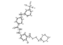 O=C(NNc1ncc(F)c(NCCCN2CCOCC2)n1)c1ccc(Nc2cccc(C(F)(F)F)c2)cn1